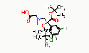 CC(C)(C)OC(=O)[C@@](CNCC(=O)O)(O[Si](C)(C)C(C)(C)C)c1cc(Cl)cc(Cl)c1